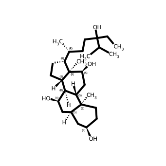 CCC(O)(CC[C@@H](C)[C@H]1CC[C@H]2[C@@H]3[C@H](O)C[C@@H]4C[C@H](O)CC[C@]4(C)[C@H]3C[C@H](O)[C@]12C)C(C)C